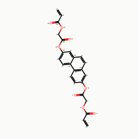 C=CC(=O)OCC(=O)Oc1ccc2c(ccc3cc(OC(=O)COC(=O)C=C)ccc32)c1